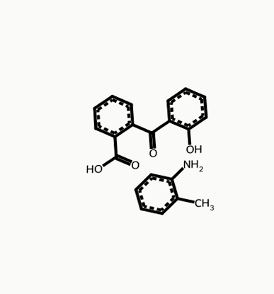 Cc1ccccc1N.O=C(O)c1ccccc1C(=O)c1ccccc1O